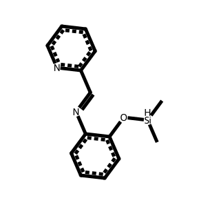 C[SiH](C)Oc1ccccc1N=Cc1ccccn1